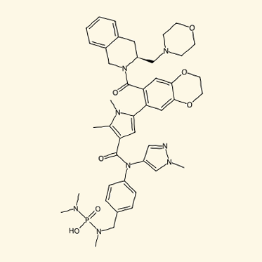 Cc1c(C(=O)N(c2ccc(CN(C)P(=O)(O)N(C)C)cc2)c2cnn(C)c2)cc(-c2cc3c(cc2C(=O)N2Cc4ccccc4C[C@H]2CN2CCOCC2)OCCO3)n1C